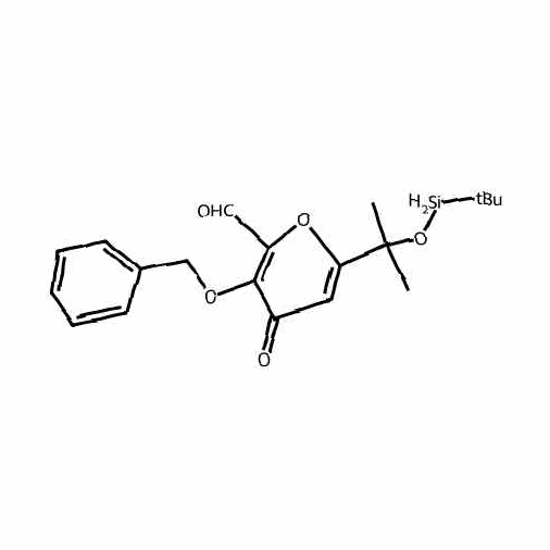 CC(C)(C)[SiH2]OC(C)(C)c1cc(=O)c(OCc2ccccc2)c(C=O)o1